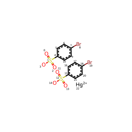 O=S(=O)([O-])c1ccc(Br)cc1.O=S(=O)([O-])c1ccc(Br)cc1.[Hg+2]